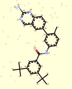 Cc1ccc(NC(=O)c2cc(C(C)(C)C)cc(C(C)(C)C)c2)cc1-c1ccc2nc(N)ncc2c1